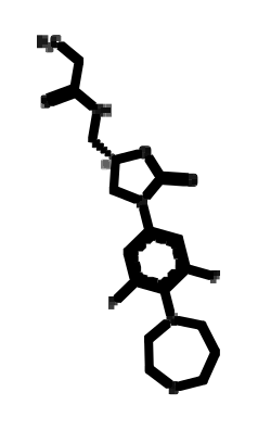 CCC(=S)NC[C@H]1CN(c2cc(F)c(N3CCCSCC3)c(F)c2)C(=O)O1